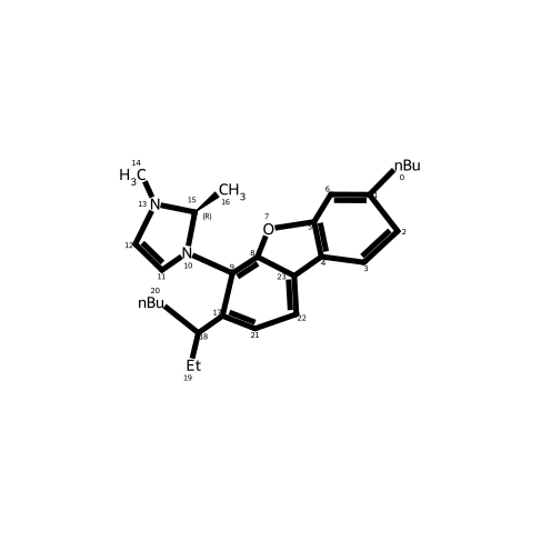 CCCCc1ccc2c(c1)oc1c(N3C=CN(C)[C@H]3C)c(C(CC)CCCC)ccc12